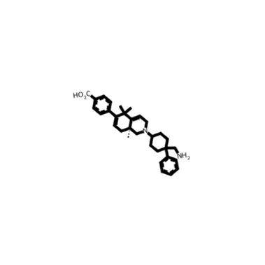 CC1(C)C(c2ccc(C(=O)O)cc2)=CC[C@]2(C)CN(C3CCC(CN)(c4ccccc4)CC3)CC=C12